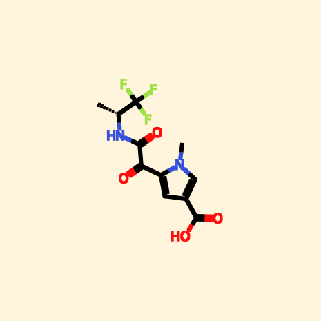 C[C@@H](NC(=O)C(=O)c1cc(C(=O)O)cn1C)C(F)(F)F